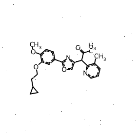 COc1ccc(-c2nc(C(C(C)=O)c3ncccc3C)co2)cc1OCCC1CC1